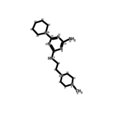 CN1CCN(CCNc2nc(N)nc(N3CCCCC3)n2)CC1